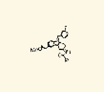 CON=Cc1ccc2c(c1)c1c(n2Cc2cccc(F)c2)CC[C@@H](NC(=O)C2CC2)C1